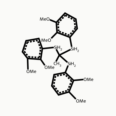 COc1cccc([SiH2]C(C)([SiH2]c2cccc(OC)c2OC)[SiH2]c2cccc(OC)c2OC)c1OC